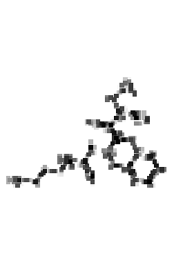 CCCCNC(=O)O[C@H]1Cc2ccccc2CN1C(=O)[C@@H](N)CC